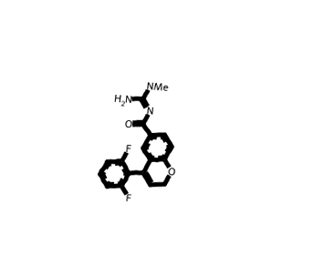 CN/C(N)=N/C(=O)c1ccc2c(c1)C(c1c(F)cccc1F)=CCO2